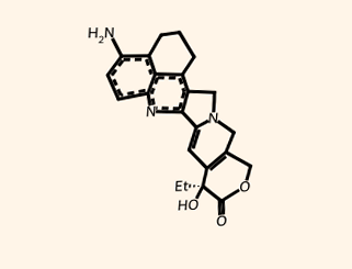 CC[C@@]1(O)C(=O)OCC2=C1C=C1c3nc4ccc(N)c5c4c(c3CN1C2)CCC5